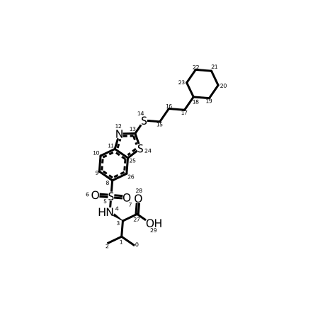 CC(C)[C@@H](NS(=O)(=O)c1ccc2nc(SCCCC3CCCCC3)sc2c1)C(=O)O